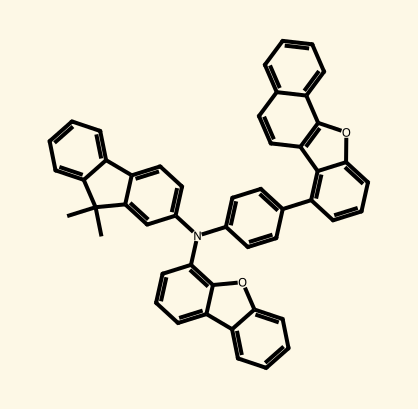 CC1(C)c2ccccc2-c2ccc(N(c3ccc(-c4cccc5oc6c7ccccc7ccc6c45)cc3)c3cccc4c3oc3ccccc34)cc21